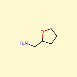 N[CH]C1CCCO1